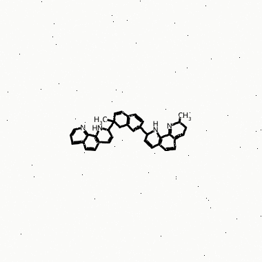 CC1CC=c2ccc3c(c2=N1)NC(c1ccc2c(c1)CC(C)(C1C=Cc4ccc5cccnc5c4N1)C=C2)C=C3